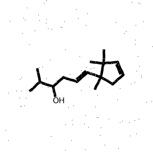 CC(C)C(O)CC=CC1(C)CC=CC1(C)C